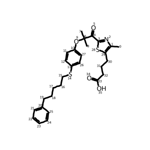 Cc1nc(C(=O)C(C)(C)Oc2ccc(SCCCCCc3ccccc3)cc2)sc1CCCC(=O)O